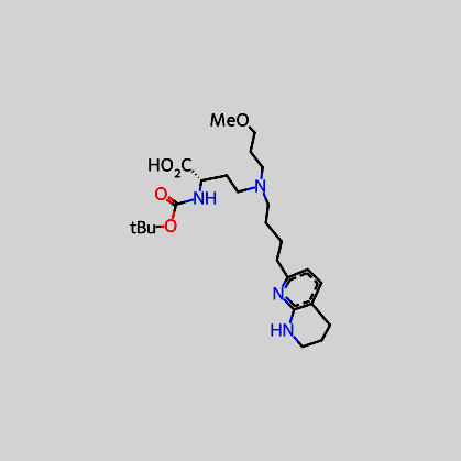 COCCCN(CCCCc1ccc2c(n1)NCCC2)CC[C@H](NC(=O)OC(C)(C)C)C(=O)O